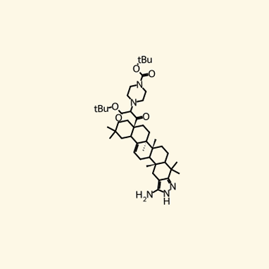 CC1(C)CC[C@]2(C(=O)C(C(=O)OC(C)(C)C)N3CCN(C(=O)OC(C)(C)C)CC3)CC[C@]3(C)C(=CCC4[C@@]5(C)Cc6c(n[nH]c6N)C(C)(C)C5CC[C@]43C)C2C1